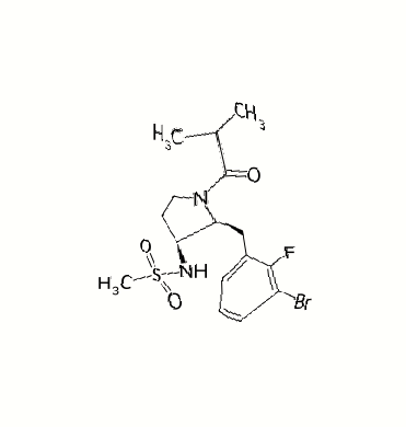 CC(C)C(=O)N1CC[C@H](NS(C)(=O)=O)[C@@H]1Cc1cccc(Br)c1F